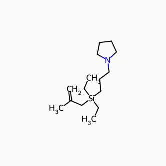 C=C(C)C[Si](CC)(CC)CCCN1CCCC1